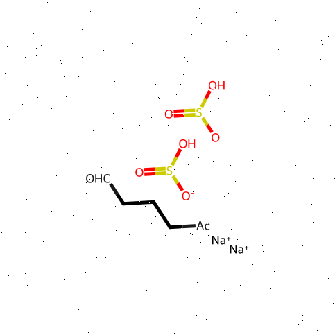 CC(=O)CCCC=O.O=S([O-])O.O=S([O-])O.[Na+].[Na+]